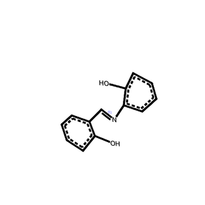 Oc1ccccc1/C=N/c1ccccc1O